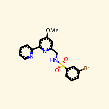 COc1cc(CNS(=O)(=O)c2cccc(Br)c2)nc(-c2ccccn2)c1